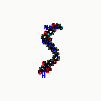 N#Cc1c(NS(=O)(=O)N2CC[C@@H](F)C2)ccc(F)c1Oc1ccc2ncn(-c3ccc(N4CCC(CN5CCC(Oc6ccc7c(c6)C(=O)N(C6CCC(=O)NC6=O)C7=O)CC5)CC4)nc3)c(=O)c2c1